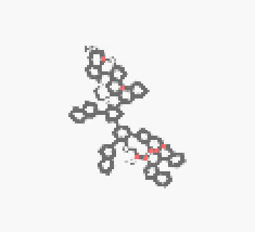 OCCOc1ccc2ccccc2c1-c1c(OCCOc2c(-c3ccc4ccccc4c3)cc(-c3cc(-c4ccc5ccccc5c4)c(OCCOc4ccc5ccccc5c4-c4c(OCCO)ccc5ccccc45)c(-c4ccc5ccccc5c4)c3)cc2-c2ccc3ccccc3c2)ccc2ccccc12